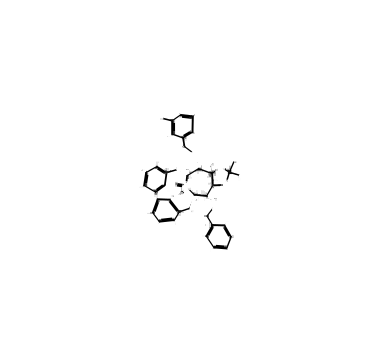 Cc1cccc(CO[C@@H]2[C@@H]3OC(C)(C)O[C@H]3[C@@H](OCc3ccccc3)[C@@H](Cc3ccccc3)S(=O)(=O)[C@@H]2Cc2ccccc2)c1